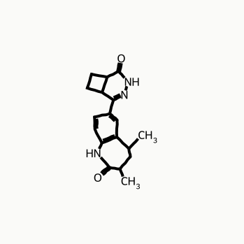 CC1CC(C)c2cc(C3=NNC(=O)C4CCC34)ccc2NC1=O